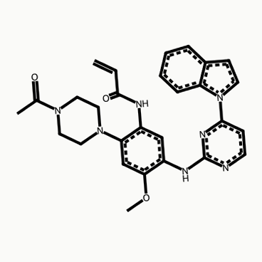 C=CC(=O)Nc1cc(Nc2nccc(-n3ccc4ccccc43)n2)c(OC)cc1N1CCN(C(C)=O)CC1